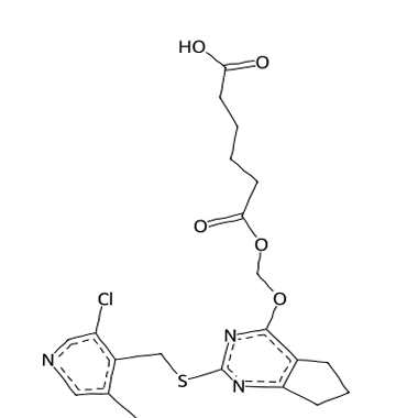 Cc1cncc(Cl)c1CSc1nc2c(c(OCOC(=O)CCCCC(=O)O)n1)CCC2